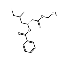 CCOC(=O)C[C@@H](CC(I)CI)OC(=O)c1ccccc1